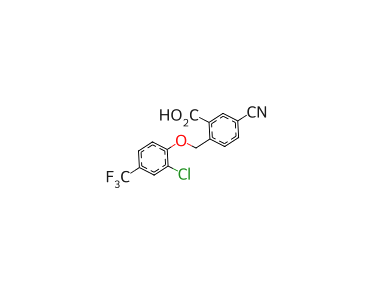 N#Cc1ccc(COc2ccc(C(F)(F)F)cc2Cl)c(C(=O)O)c1